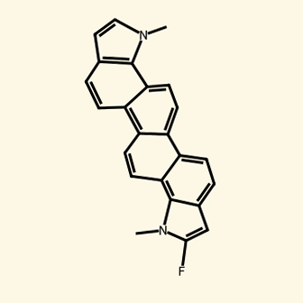 Cn1ccc2ccc3c4ccc5c(ccc6cc(F)n(C)c65)c4ccc3c21